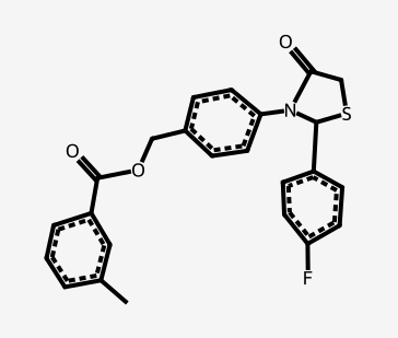 Cc1cccc(C(=O)OCc2ccc(N3C(=O)CSC3c3ccc(F)cc3)cc2)c1